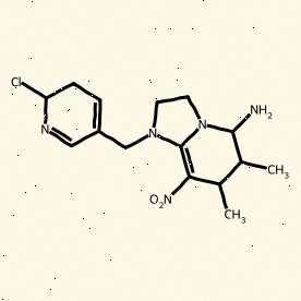 CC1C([N+](=O)[O-])=C2N(CC3=CCC(Cl)N=C3)CCN2C(N)C1C